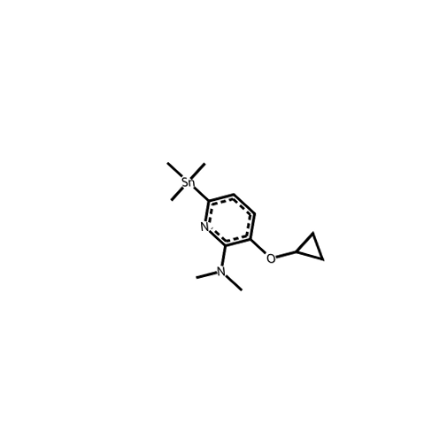 CN(C)c1n[c]([Sn]([CH3])([CH3])[CH3])ccc1OC1CC1